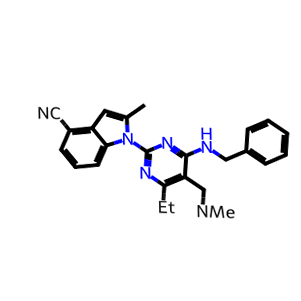 CCc1nc(-n2c(C)cc3c(C#N)cccc32)nc(NCc2ccccc2)c1CNC